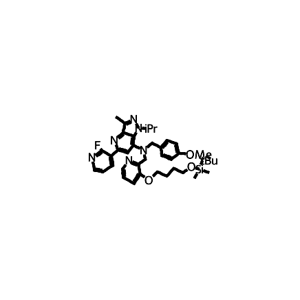 COc1ccc(CN(Cc2ncccc2OCCCCO[Si](C)(C)C(C)(C)C)c2cc(-c3cccnc3F)nc3c(C)nn(C(C)C)c23)cc1